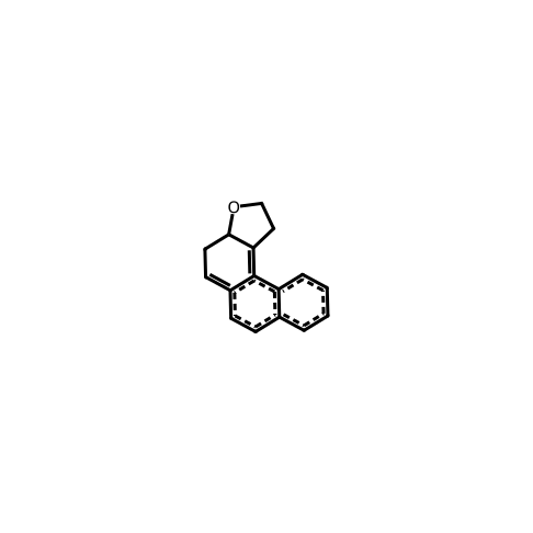 C1=c2ccc3ccccc3c2=C2CCOC2C1